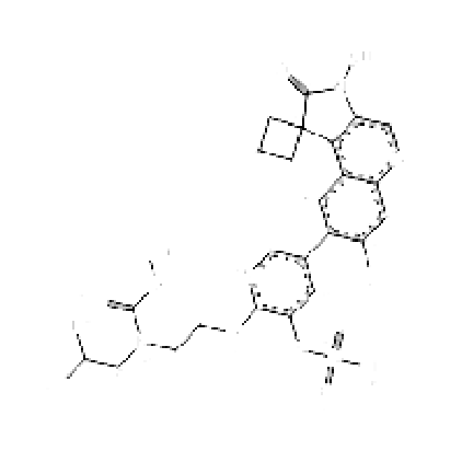 CN1C(=O)C2(CCC2)c2c1cnc1cc(F)c(-c3cnc(OCCN(CC(F)F)C(=O)OC(C)(C)C)c(NS(C)(=O)=O)c3)cc21